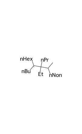 CCCCCCCCCC(C)C(CC)(CCC)[C](CCCC)CCCCCC